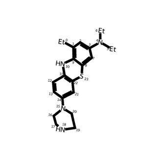 CCc1cc(N(CC)CC)cc2c1Nc1ccc(N3CCNCC3)cc1S2